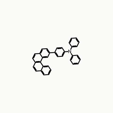 c1ccc(N(c2ccccc2)c2ccc(-c3ccc4ccc5ccc6ccccc6c5c4c3)cc2)cc1